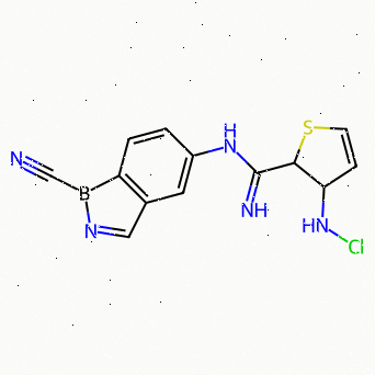 N#CB1N=Cc2cc(NC(=N)C3SC=CC3NCl)ccc21